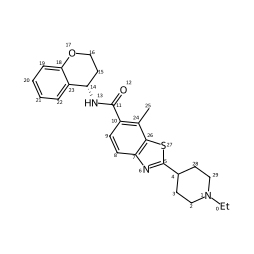 CCN1CCC(c2nc3ccc(C(=O)N[C@H]4CCOc5ccccc54)c(C)c3s2)CC1